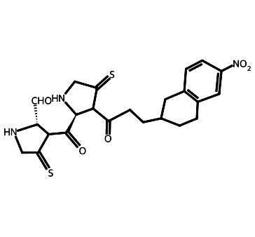 O=C[C@H]1NCC(=S)C1C(=O)[C@H]1NCC(=S)C1C(=O)CCC1CCc2cc([N+](=O)[O-])ccc2C1